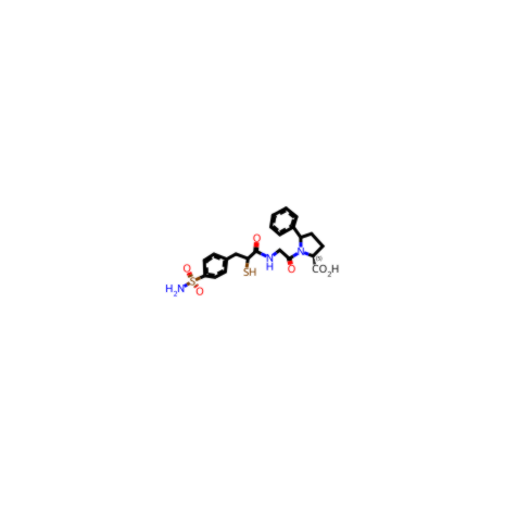 NS(=O)(=O)c1ccc(CC(S)C(=O)NCC(=O)N2C(c3ccccc3)CC[C@H]2C(=O)O)cc1